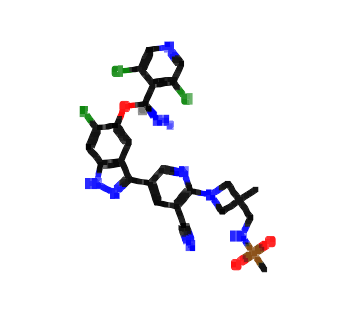 CC1(CNS(C)(=O)=O)CN(c2ncc(-c3n[nH]c4cc(F)c(O[C@H](N)c5c(Cl)cncc5Cl)cc34)cc2C#N)C1